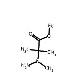 CCOC(=O)C(C)(C)N(C)N